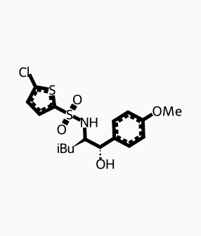 CC[C@H](C)C(NS(=O)(=O)c1ccc(Cl)s1)[C@@H](O)c1ccc(OC)cc1